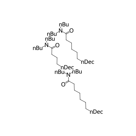 CCCCCCCCCCCCCC(=O)N(CCCC)CCCC.CCCCCCCCCCCCCCCC(=O)N(CCCC)CCCC.CCCCCCCCCCCCCCCCC(=O)N(CCCC)CCCC